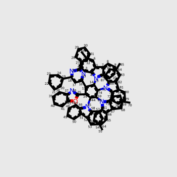 Cc1ccc2c(c1)c1ccccc1n2-c1c(-c2cc(-c3ccccc3)nc(-c3ccccc3)n2)c(-c2nc3ccccc3o2)c(-n2c3ccccc3c3cc(C)ccc32)c(-n2c3ccccc3c3cc(C)ccc32)c1-n1c2ccccc2c2cc(C)ccc21